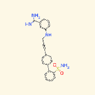 N=C(N)c1cccc(NCC#Cc2ccc(-c3ccccc3S(N)(=O)=O)cc2)c1